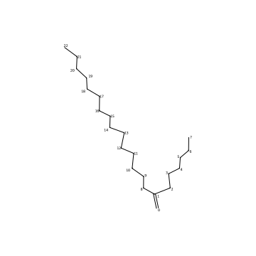 C=C(CCCCCC)CCCCCCCCCCCCCCC